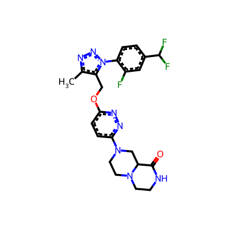 Cc1nnn(-c2ccc(C(F)F)cc2F)c1COc1ccc(N2CCN3CCNC(=O)C3C2)nn1